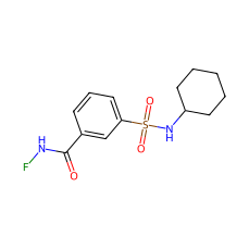 O=C(NF)c1cccc(S(=O)(=O)NC2CCCCC2)c1